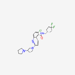 O=C(NCC1CCC(F)(F)CC1)c1c(Cl)ccc2nc(N3CCC(N4CCCC4)C3)ccc12